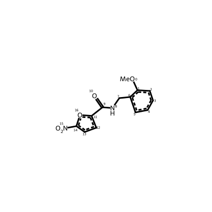 COc1ccccc1CNC(=O)c1ccc([N+](=O)[O-])o1